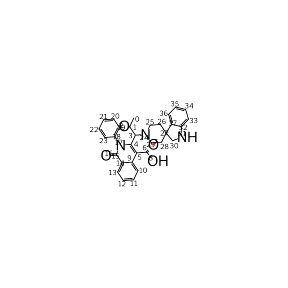 CC(=O)C(c1c(C(=O)O)c2ccccc2c(=O)n1-c1ccccc1)N1CCC2(CC1)CNc1ccccc12